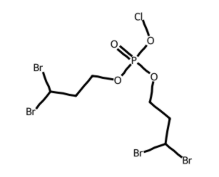 O=P(OCl)(OCCC(Br)Br)OCCC(Br)Br